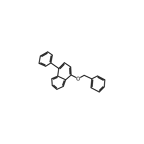 c1ccc(COc2ccc(-c3ccccc3)c3ccccc23)cc1